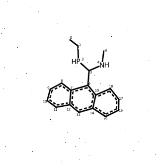 CCPC(NC)c1c2ccccc2cc2ccccc12